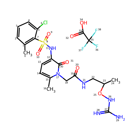 Cc1cccc(Cl)c1S(=O)(=O)Nc1ccc(C)n(CC(=O)NCC(C)ONC(=N)N)c1=O.O=C(O)C(F)(F)F